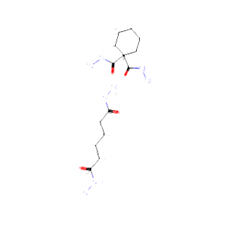 NNC(=O)C1(C(=O)NN)CCCCC1.NNC(=O)CCCCC(=O)NN